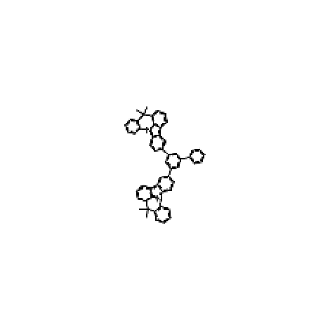 CC1(C)c2ccccc2-n2c3ccc(-c4cc(-c5ccccc5)cc(-c5ccc6c(c5)c5cccc7c5n6-c5ccccc5C7(C)C)c4)cc3c3cccc1c32